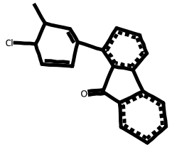 CC1C=C(c2cccc3c2C(=O)c2ccccc2-3)C=CC1Cl